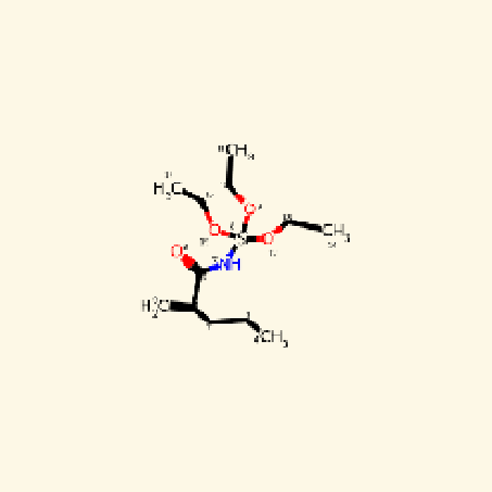 C=C(CCC)C(=O)N[Si](OCC)(OCC)OCC